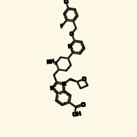 N.O=C(O)c1ccc2nc(CC3CCC(c4cccc(OCc5ccc(Cl)cc5F)n4)CC3)n(C[C@@H]3CCO3)c2c1